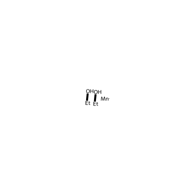 CCO.CCO.[Mn]